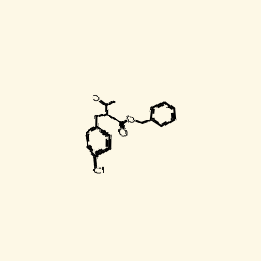 CC(=O)C(Cc1ccc(Cl)cc1)C(=O)OCc1ccccc1